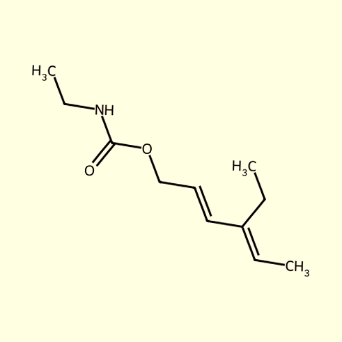 C/C=C(/C=C/COC(=O)NCC)CC